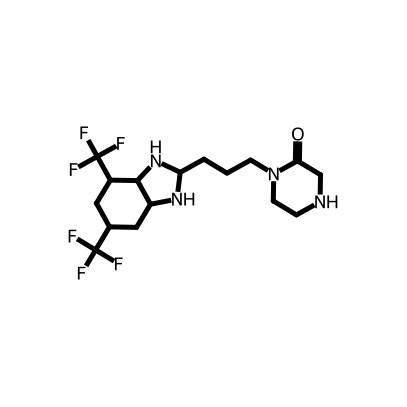 O=C1CNCCN1CCCC1NC2CC(C(F)(F)F)CC(C(F)(F)F)C2N1